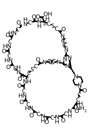 N[C@H]1CCC(=O)N2CCN(CC2)c2nc3nc(n2)N2CCN(CC2)C(=O)CSC[C@H](NC(=O)CNC(=O)CNC(=O)CNC(=O)CNC(=O)CNC1=O)C(=O)NCC(=O)NCC(=O)NCC(=O)NCC(=O)NCC(=O)N[C@H](C(=O)O)CSCC(=O)N1CCN3CC1